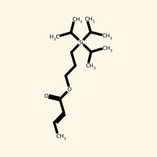 CC=CC(=O)OCCC[Si](C(C)C)(C(C)C)C(C)C